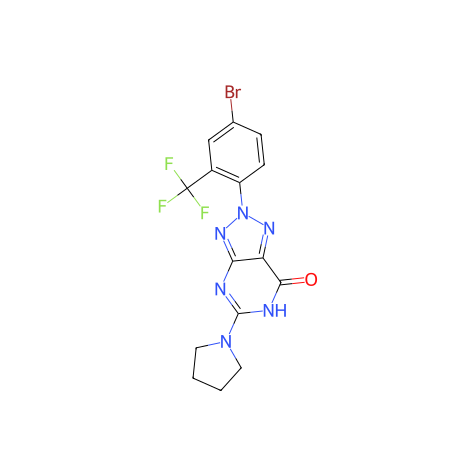 O=c1[nH]c(N2CCCC2)nc2nn(-c3ccc(Br)cc3C(F)(F)F)nc12